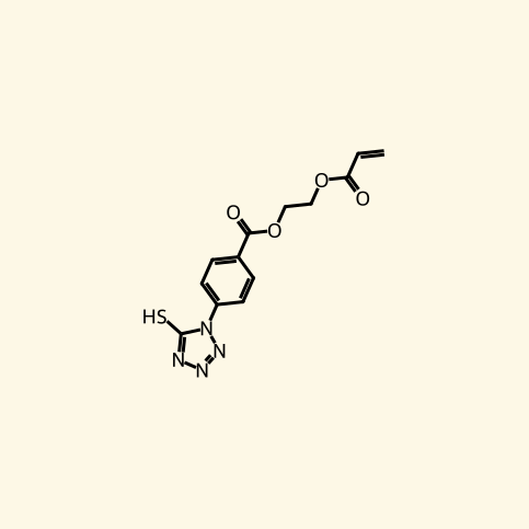 C=CC(=O)OCCOC(=O)c1ccc(-n2nnnc2S)cc1